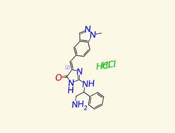 Cl.Cl.Cn1ncc2cc(/C=C3\N=C(NC(CN)c4ccccc4)NC3=O)ccc21